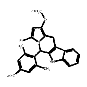 CCOC(=O)Oc1cc(CC)n2c1Cc1c([nH]c3ccccc13)C2c1c(C)cc(OC)cc1C